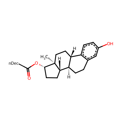 CCCCCCCCCCC(=O)O[C@H]1CC[C@H]2[C@@H]3CCc4cc(O)ccc4[C@H]3CC[C@]12C